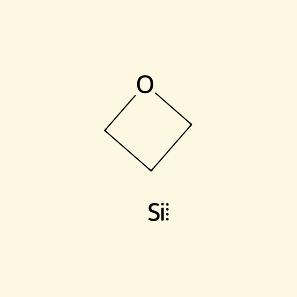 C1COC1.[Si]